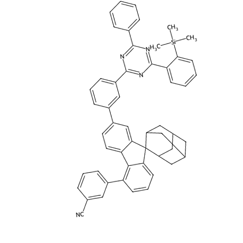 C[Si](C)(C)c1ccccc1-c1nc(-c2ccccc2)nc(-c2cccc(-c3ccc4c(c3)C3(c5cccc(-c6cccc(C#N)c6)c5-4)C4CC5CC(C4)CC3C5)c2)n1